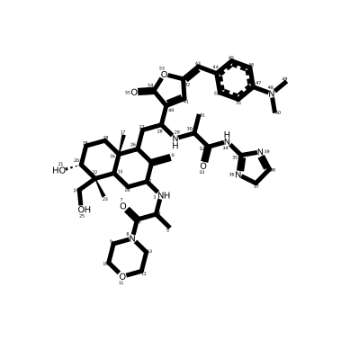 C=C1C(NC(C)C(=O)N2CCOCC2)CC2[C@](C)(CC[C@@H](O)[C@@]2(C)CO)C1CC(NC(C)C(=O)NC1=NCC=N1)C1=C/C(=C\c2ccc(N(C)C)cc2)OC1=O